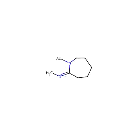 C/N=C1/CCCCCN1C(C)=O